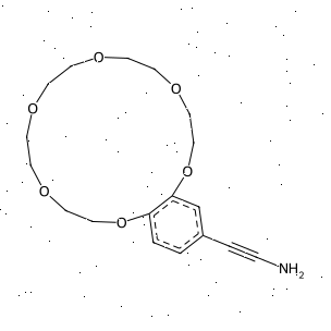 NC#Cc1ccc2c(c1)OCCOCCOCCOCCOCCO2